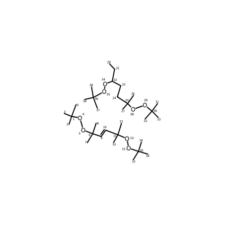 CC(C)(C)OOC(C)(C)C=CC(C)(C)OOC(C)(C)C.CCC(CCC(C)(C)OOC(C)(C)C)OOC(C)(C)C